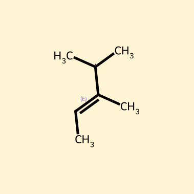 C/C=C(\C)[C](C)C